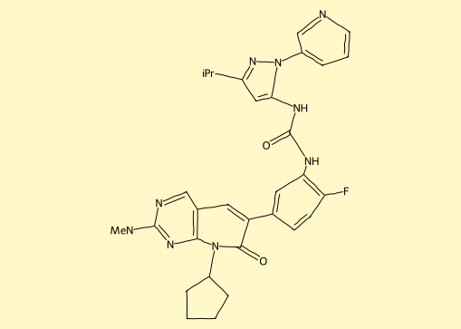 CNc1ncc2cc(-c3ccc(F)c(NC(=O)Nc4cc(C(C)C)nn4-c4cccnc4)c3)c(=O)n(C3CCCC3)c2n1